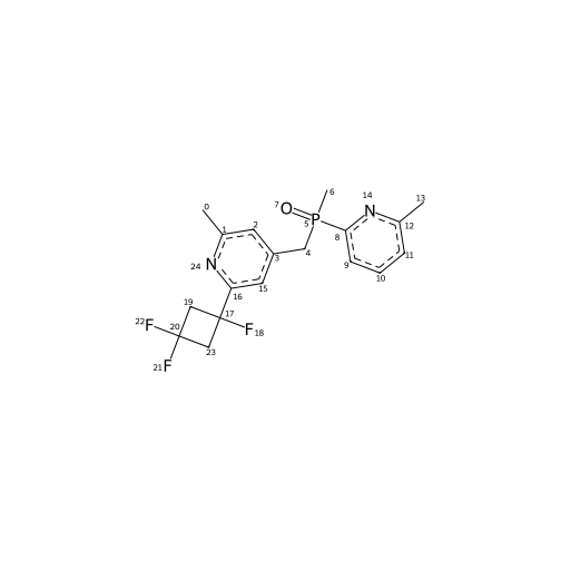 Cc1cc(CP(C)(=O)c2cccc(C)n2)cc(C2(F)CC(F)(F)C2)n1